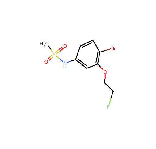 CS(=O)(=O)Nc1ccc(Br)c(OCCF)c1